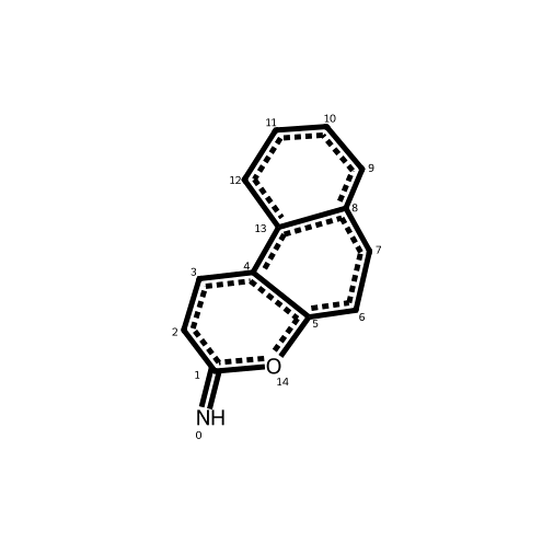 N=c1ccc2c(ccc3ccccc32)o1